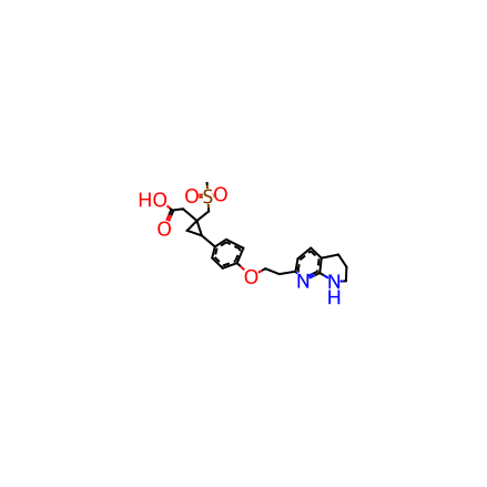 CS(=O)(=O)CC1(CC(=O)O)CC1c1ccc(OCCc2ccc3c(n2)NCCC3)cc1